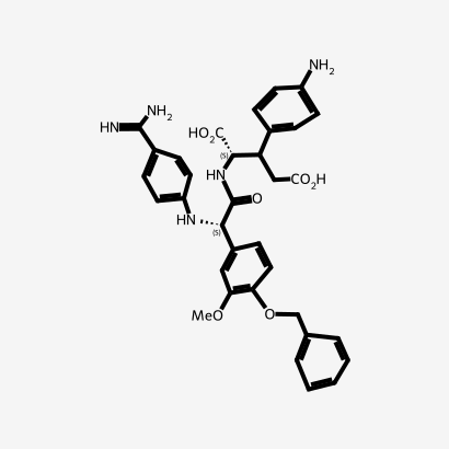 COc1cc([C@H](Nc2ccc(C(=N)N)cc2)C(=O)N[C@H](C(=O)O)C(CC(=O)O)c2ccc(N)cc2)ccc1OCc1ccccc1